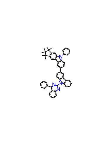 CC1(C)c2cc3c4cc(-c5ccc6c(c5)c5ccccc5n6-c5nc(-c6ccccc6)c6ccccc6n5)ccc4n(-c4ccccc4)c3cc2C(C)(C)C1(C)C